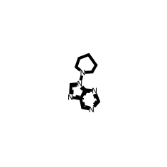 c1ncc2ncn(N3CCCCC3)c2n1